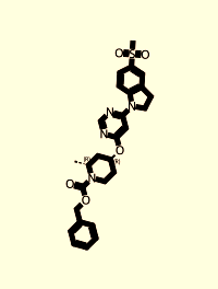 C[C@@H]1C[C@H](Oc2cc(N3CCc4cc(S(C)(=O)=O)ccc43)ncn2)CCN1C(=O)OCc1ccccc1